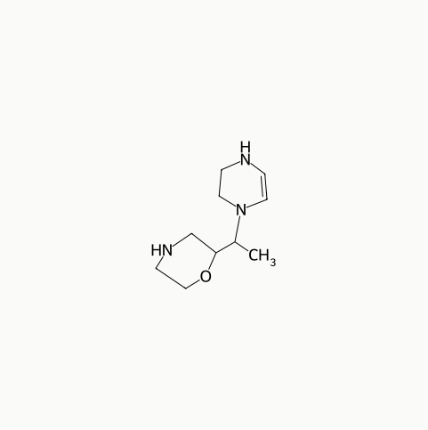 CC(C1CNCCO1)N1C=CNCC1